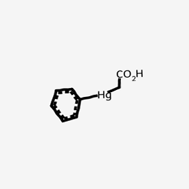 O=C(O)[CH2][Hg][c]1ccccc1